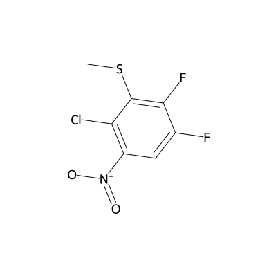 CSc1c(F)c(F)cc([N+](=O)[O-])c1Cl